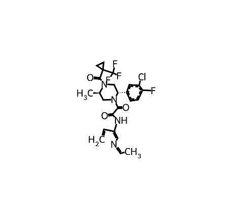 C=C/C(=C\N=C/C)NC(=O)C(=O)N1C[C@@H](C)N(C(=O)C2(C(F)(F)F)CC2)C[C@@H]1c1ccc(F)c(Cl)c1